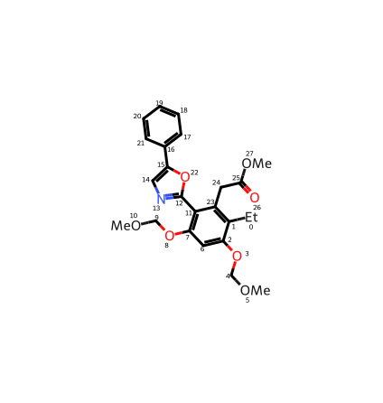 CCc1c(OCOC)cc(OCOC)c(-c2ncc(-c3ccccc3)o2)c1CC(=O)OC